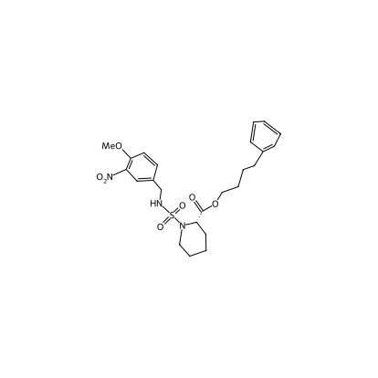 COc1ccc(CNS(=O)(=O)N2CCCC[C@H]2C(=O)OCCCCc2ccccc2)cc1[N+](=O)[O-]